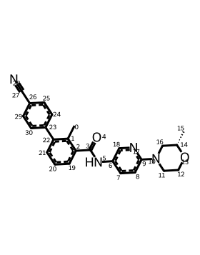 Cc1c(C(=O)Nc2ccc(N3CCO[C@@H](C)C3)nc2)cccc1-c1ccc(C#N)cc1